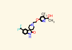 CC(O)c1ncc(OCCN2CCC3(CC2)C(=O)Nc2ccc(C(F)F)cc23)cc1C(F)(F)F